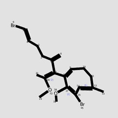 C=C(CCC=CBr)/C(C1=CCC/C(C)=C/C(Br)=C\1OC)=C(\C)OC